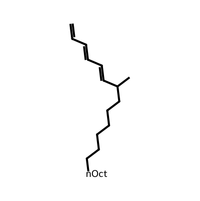 C=CC=CC=CC(C)CCCCCCCCCCCCCC